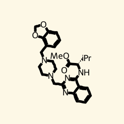 COC(=O)[C@@H](Nc1nc(CN2CCN(Cc3cccc4c3OCO4)CC2)nc2ccccc12)C(C)C